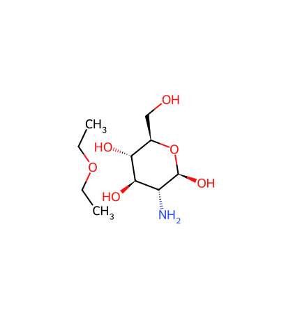 CCOCC.N[C@@H]1[C@@H](O)[C@H](O)[C@@H](CO)O[C@H]1O